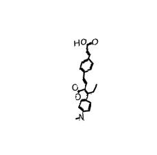 CCc1c(/C=C/c2ccc(/C=C/C(=O)O)cc2)c(=O)oc2cc(N(C)C)ccc12